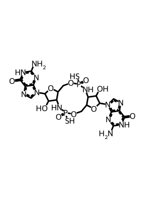 Nc1nc2c(ncn2C2OC3COP(=O)(S)NC4C(COP(=O)(S)NC3C2O)OC(n2cnc3c(=O)[nH]c(N)nc32)C4O)c(=O)[nH]1